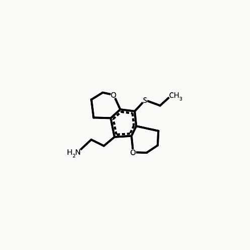 CCSc1c2c(c(CCN)c3c1OCCC3)OCCC2